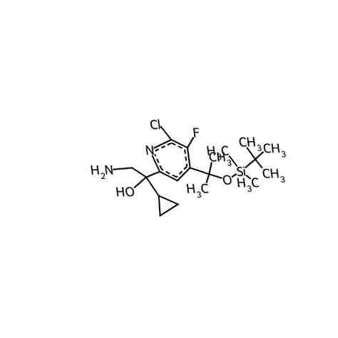 CC(C)(O[Si](C)(C)C(C)(C)C)c1cc(C(O)(CN)C2CC2)nc(Cl)c1F